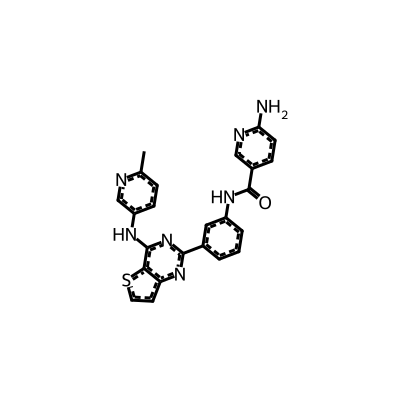 Cc1ccc(Nc2nc(-c3cccc(NC(=O)c4ccc(N)nc4)c3)nc3ccsc23)cn1